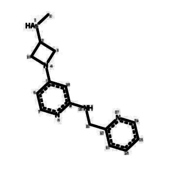 C[AsH]C1CN(c2ccnc(NCc3ccccn3)c2)C1